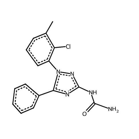 Cc1cccc(-n2nc(NC(N)=O)nc2-c2ccccc2)c1Cl